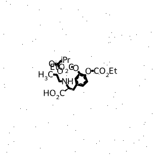 CCOC(=O)Oc1ccc(C[C@H](NCC(C)OC(=O)C(C)C)C(=O)O)cc1OC(=O)OCC